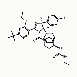 CCNC(=O)NC1CCN(C(=O)N2C(c3cnc(C(C)(C)C)cc3OCC)=N[C@@](C)(c3ccc(Cl)cc3)[C@@]2(C)c2ccc(Cl)cc2)CC1